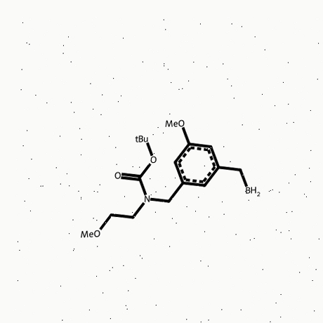 BCc1cc(CN(CCOC)C(=O)OC(C)(C)C)cc(OC)c1